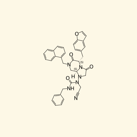 N#CCN(C(=O)NCc1ccccc1)N1CC(=O)N2[C@@H](Cc3ccc4occc4c3)C(=O)N(Cc3cccc4ccccc34)C[C@@H]21